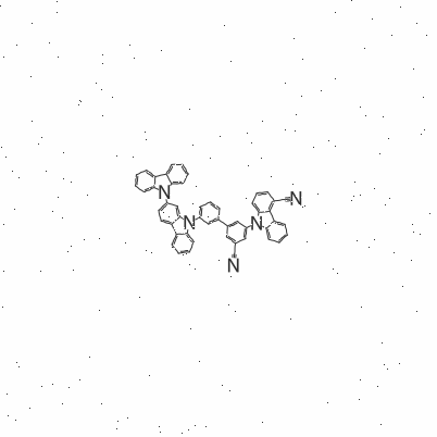 N#Cc1cc(-c2cccc(-n3c4ccccc4c4ccc(-n5c6ccccc6c6ccccc65)cc43)c2)cc(-n2c3ccccc3c3c(C#N)cccc32)c1